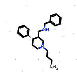 CCCCN1CC[C@H](c2ccccc2)[C@@H](CNCc2ccccc2)C1